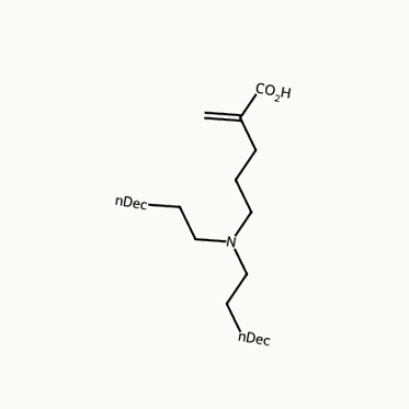 C=C(CCCN(CCCCCCCCCCCC)CCCCCCCCCCCC)C(=O)O